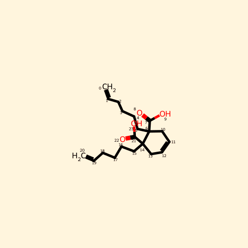 C=CCCCCC1(C(=O)O)CC=CCC1(CCCCC=C)C(=O)O